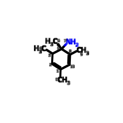 CC1=CC(C)[C@](C)(N)C(C)=C1